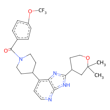 CC1(C)CC(c2nc3c(C4CCN(C(=O)c5ccc(OC(F)(F)F)cc5)CC4)ccnc3[nH]2)CCO1